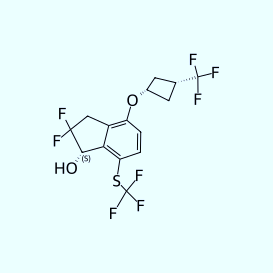 O[C@H]1c2c(SC(F)(F)F)ccc(O[C@H]3C[C@@H](C(F)(F)F)C3)c2CC1(F)F